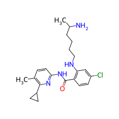 Cc1ccc(NC(=O)c2ccc(Cl)cc2NCCCCC(C)N)nc1C1CC1